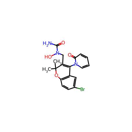 CC1(C)Oc2ccc(Br)cc2C(n2ccccc2=O)=C1CN(O)C(N)=O